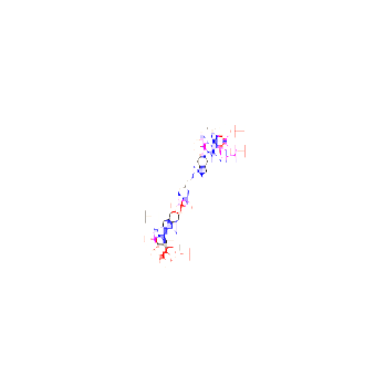 CCc1c2c(nc3ccc(OC(=O)N4CCC(CCCn5ccc6cc(N(C(=N)c7cc(C(C)C)c(O)cc7O)C(N)=O)ccc65)CC4)cc13)-c1cc3c(c(=O)n1C2)COC(=O)C3(O)CC